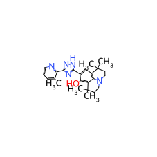 Cc1cccnc1-c1n[nH]c(-c2cc3c4c(c2O)C(C)(C)CCN4CCC3(C)C)n1